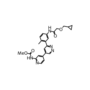 COC(=O)Nc1cc(-c2cnnc(-c3cc(NC(=O)COCC4CC4)ccc3C)c2)ccn1